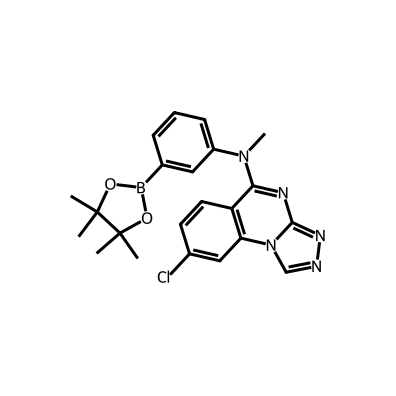 CN(c1cccc(B2OC(C)(C)C(C)(C)O2)c1)c1nc2nncn2c2cc(Cl)ccc12